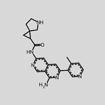 Cc1ccncc1-c1cc2cc(NC(=O)C3CC34CCNC4)ncc2c(N)n1